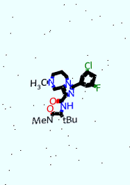 CNC(=O)C(NC(=O)c1nc(-c2cc(F)cc(Cl)c2)n2c1CN(C)CCC2)C(C)(C)C